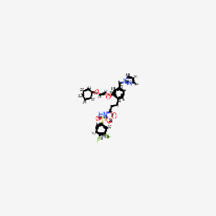 O=C(CCc1ccc(Cn2cccn2)cc1OCCOC1CCCCC1)NS(=O)(=O)c1ccc(F)c(F)c1